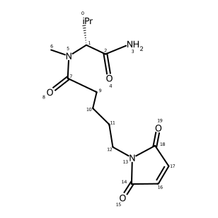 CC(C)[C@H](C(N)=O)N(C)C(=O)CCCCN1C(=O)C=CC1=O